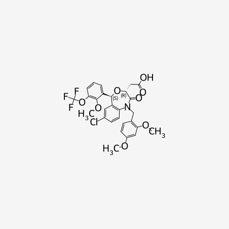 COc1ccc(CN2C(=O)[C@@H](CC(=O)O)O[C@H](c3cccc(OC(F)(F)F)c3OC)c3cc(Cl)ccc32)c(OC)c1